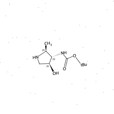 C[C@@H]1NC[C@H](O)[C@H]1NC(=O)OC(C)(C)C